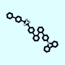 c1ccc(-c2ccc(-c3nnc(-c4ccc(-c5ccccc5-c5ccccc5-c5ccc(-n6c7ccccc7c7ccccc76)cc5)cc4)o3)cc2)cc1